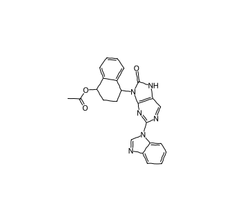 CC(=O)OC1CCC(n2c(=O)[nH]c3cnc(-n4cnc5ccccc54)nc32)c2ccccc21